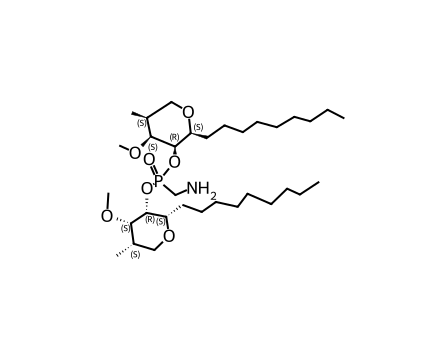 CCCCCCCCC[C@@H]1OC[C@H](C)[C@H](OC)[C@@H]1OP(=O)(CN)O[C@H]1[C@@H](OC)[C@@H](C)CO[C@H]1CCCCCCCCC